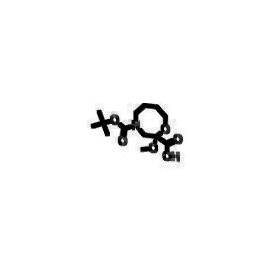 CO[C@@]1(C(=O)O)CN(C(=O)OC(C)(C)C)CCCCO1